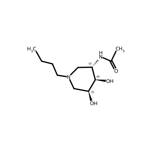 CCCCN1C[C@H](NC(C)=O)[C@@H](O)[C@@H](O)C1